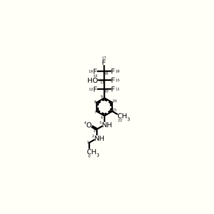 CCNC(=O)Nc1ccc(C(F)(F)C(O)(F)C(F)(F)F)cc1C